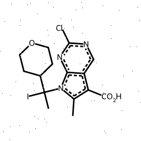 Cc1c(C(=O)O)c2cnc(Cl)nc2n1C(C)(I)C1CCOCC1